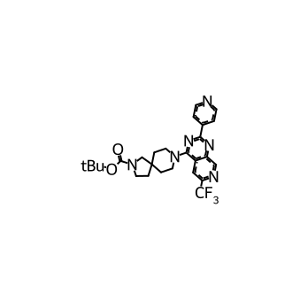 CC(C)(C)OC(=O)N1CCC2(CCN(c3nc(-c4ccncc4)nc4cnc(C(F)(F)F)cc34)CC2)C1